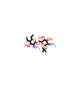 CCC1OC(OCC2OC(OC(C)(C)C)C(N)C(O)C2O)C(N)C(O)C1CC